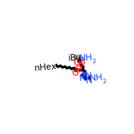 CCCCCCC=CCCCCCCCC(=O)OCC(CCOC(=O)[C@@H](N)[C@@H](C)CC)Cn1cnc2cnc(N)nc21